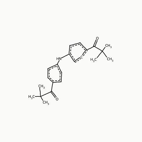 CC(C)(C)C(=O)c1ccc(Nc2ccc(C(=O)C(C)(C)C)cc2)cc1